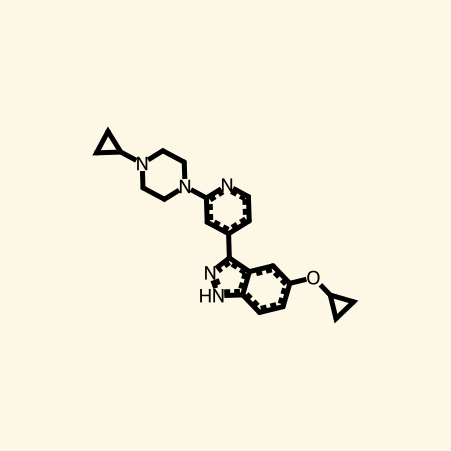 c1cc(-c2n[nH]c3ccc(OC4CC4)cc23)cc(N2CCN(C3CC3)CC2)n1